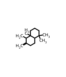 [CH2]C1C(=C)CCC2C(C)(C)CCCC12C